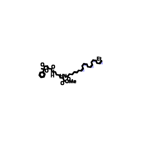 CC/C=C\C/C=C\C/C=C\C/C=C\C/C=C\CC=CCCC(=O)NC(CCCCNC(=O)C1=CC(=O)C(C)(c2ccccc2)O1)C(=O)OC